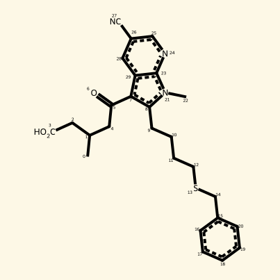 CC(CC(=O)O)CC(=O)c1c(CCCCSCc2ccccc2)n(C)c2ncc(C#N)cc12